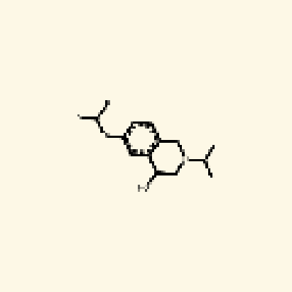 CC(C)N1Cc2ccc(OC(F)F)cc2C(O)C1